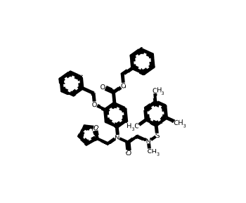 Cc1cc(C)c(SN(C)CC(=O)N(Cc2ccco2)c2ccc(C(=O)OCc3ccccc3)c(OCc3ccccc3)c2)c(C)c1